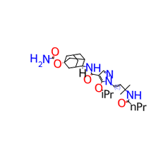 CCCC(=O)NC(C)(C)/C=C/n1ncc(C(=O)N[C@H]2C3CC4CC2C[C@](OC(N)=O)(C4)C3)c1OC(C)C